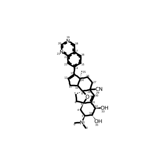 CN(C)[C@H]1C[C@@]23CC[C@]4(O2)C2CC=C(c5ccc6cncnc6c5)[C@@]2(C)CCC4(C#N)C=C3[C@@H](O)[C@@H]1O